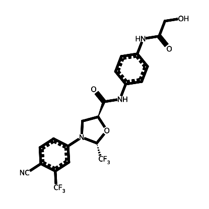 N#Cc1ccc(N2C[C@@H](C(=O)Nc3ccc(NC(=O)CO)cc3)O[C@@H]2C(F)(F)F)cc1C(F)(F)F